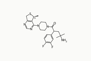 C[C@@H]1SCc2ncnc(N3CCN(C(=O)C(CC(C)(C)N)c4ccc(F)c(F)c4)CC3)c21